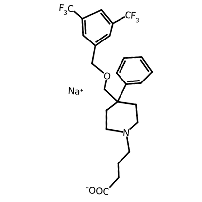 O=C([O-])CCCN1CCC(COCc2cc(C(F)(F)F)cc(C(F)(F)F)c2)(c2ccccc2)CC1.[Na+]